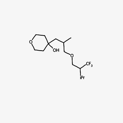 CC(COCC(C(C)C)C(F)(F)F)CC1(O)CCOCC1